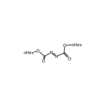 CCCCCCOC(=O)N=NC(=O)OCCCCCC